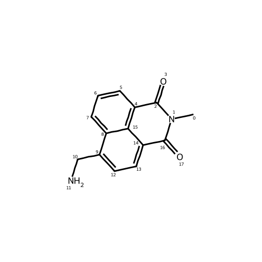 CN1C(=O)c2cccc3c(CN)ccc(c23)C1=O